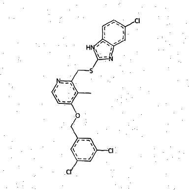 Cc1c(OCc2cc(Cl)cc(Cl)c2)ccnc1CSc1nc2cc(Cl)ccc2[nH]1